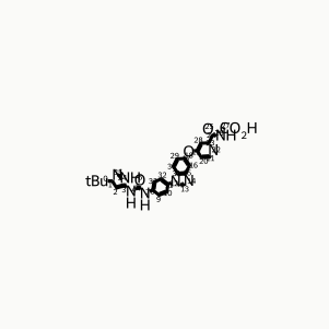 CC(C)(C)c1cc(NC(=O)Nc2ccc(-n3cnc4cc(Oc5ccnc(C(=O)NC(=O)O)c5)ccc43)cc2)[nH]n1